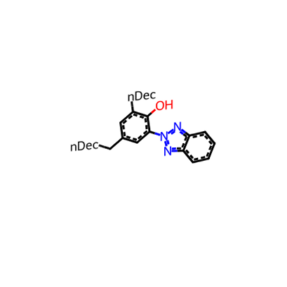 CCCCCCCCCCCc1cc(CCCCCCCCCC)c(O)c(-n2nc3ccccc3n2)c1